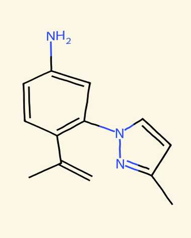 C=C(C)c1ccc(N)cc1-n1ccc(C)n1